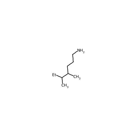 CCC(C)C(C)CCCN